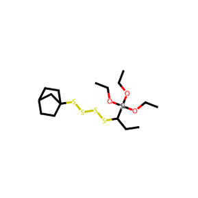 CCO[Si](OCC)(OCC)C(CC)SSSSC12CCC(CC1)C2